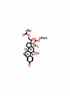 CCCCCOC(=O)O[C@]1(C(=O)COC(=O)CCCC)CC[C@H]2[C@@H]3CCC4=CC(=O)C=C[C@]4(C)[C@H]3C(O)C[C@@]21C